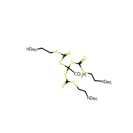 CCCCCCCCCCCCSC(=S)SC(SC(=S)SCCCCCCCCCCCC)(SC(=S)SCCCCCCCCCCCC)C(=O)O